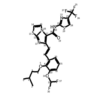 CC(C)CCOc1c(/C=C/c2nc3sccn3c2C(=O)Nc2nc(C(F)(F)F)cs2)cccc1OC(F)F